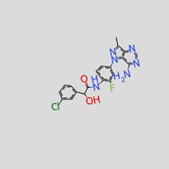 Cc1nn(-c2ccc(NC(=O)C(O)c3cccc(Cl)c3)c(F)c2)c2c(N)ncnc12